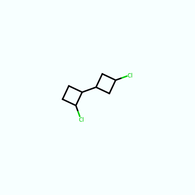 ClC1C[C](C2CCC2Cl)C1